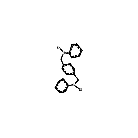 CCN(Cc1ccc(CN(CC)c2ccccc2)cc1)c1ccccc1